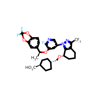 C[C@H](Oc1cc(-n2nc(C(F)(F)F)c3c2[C@@H](OC[C@H]2CC[C@H](C(=O)O)CC2)CCC3)cnc1F)c1ccc2c(c1)OC(F)(F)O2